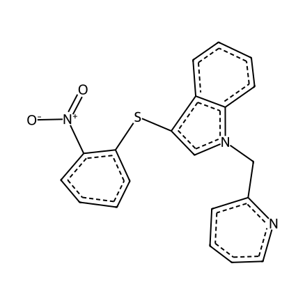 O=[N+]([O-])c1ccccc1Sc1cn(Cc2ccccn2)c2ccccc12